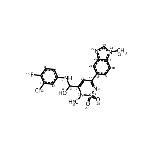 CN1C(C(O)Nc2ccc(F)c(Cl)c2)=CC(c2ccc3c(c2)ncn3C)=NS1(=O)=O